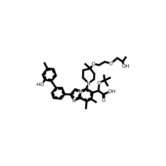 Cc1ccc(-c2cccc(-c3cn4c(N5CCC(C)(OCCOCC(C)O)CC5)c(C(OC(C)(C)C)C(=O)O)c(C)c(C)c4n3)c2)c(O)c1